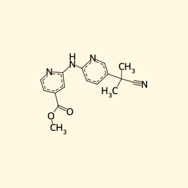 COC(=O)c1ccnc(Nc2ccc(C(C)(C)C#N)cn2)c1